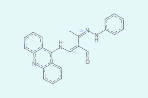 CC(=N/Nc1ccccc1)/C(C=O)=C\Nc1c2ccccc2nc2ccccc12